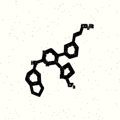 CCOC(=O)/C=C/c1cccc(-c2cnc(Nc3ccc4c(c3)CCC4)nc2-n2ccc(C(F)(F)F)n2)c1